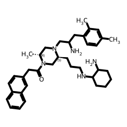 Cc1ccc(CC(N)CN2C[C@@H](C)N(C(=O)Cc3ccc4ccccc4c3)C[C@@H]2CCCNC2CCCCC2N)c(C)c1